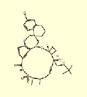 CC1C/C=C/[C@@](O)(CNC(C)(C)C)[C@@H]2CC[C@H]2CN2C[C@@]3(CCCc4cc(Cl)ccc43)COc3ccc(cc32)C(=O)NS(=O)(=O)[C@@H]1C